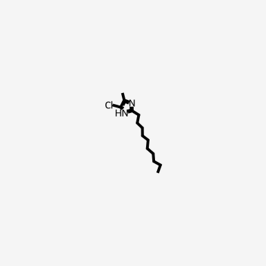 CCCCCCCCCCc1nc(C)c(Cl)[nH]1